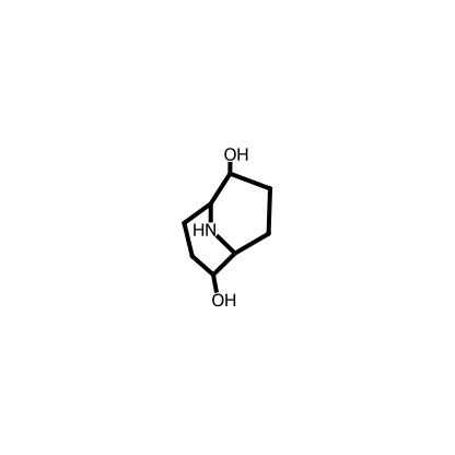 OC1CCC2NC1CCC2O